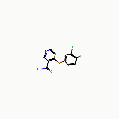 NC(=O)c1cnccc1Sc1ccc(F)c(F)c1